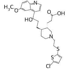 COc1ccc2nccc([C@H](O)CC[C@@H]3CCN(CCSc4ccc(Cl)s4)C[C@H]3CCC(=O)O)c2c1